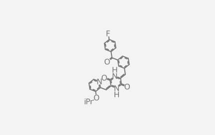 CC(C)Oc1cccnc1C=c1[nH]c(=O)c(=Cc2cccc(C(=O)c3ccc(F)cc3)c2)[nH]c1=O